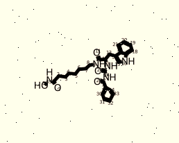 O=C(CCCCCCCNC(=O)C(Cc1c[nH]c2ccccc12)NC(=O)NC(=O)c1ccccc1)NO